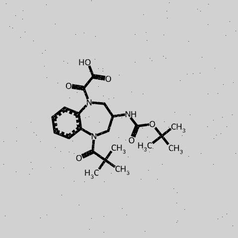 CC(C)(C)OC(=O)NC1CN(C(=O)C(=O)O)c2ccccc2N(C(=O)C(C)(C)C)C1